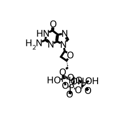 Nc1nc2c(ncn2C2C[C@@H](COP(=O)(O)OP(=O)(O)OP(=O)(O)O)O2)c(=O)[nH]1